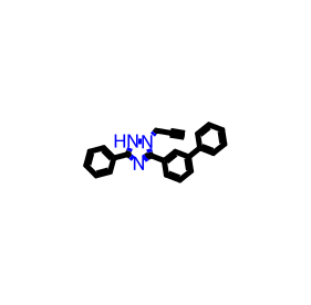 C#CCN1NC(c2ccccc2)N=C1c1cccc(-c2ccccc2)c1